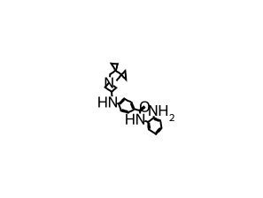 CC1(C2(CN3CC(Nc4ccc(C(=O)Nc5ccccc5N)cc4)C3)CC2)CC1